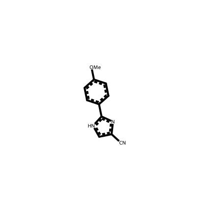 COc1ccc(-c2nc(C#N)c[nH]2)cc1